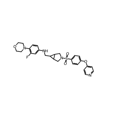 O=S(=O)(c1ccc(Oc2ccncc2)cc1)N1CC2C(CNc3ccc(N4CCOCC4)c(F)c3)C2C1